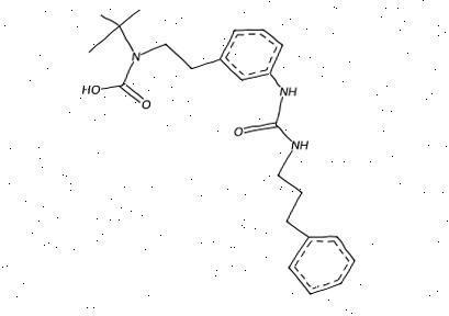 CC(C)(C)N(CCc1cccc(NC(=O)NCCCc2ccccc2)c1)C(=O)O